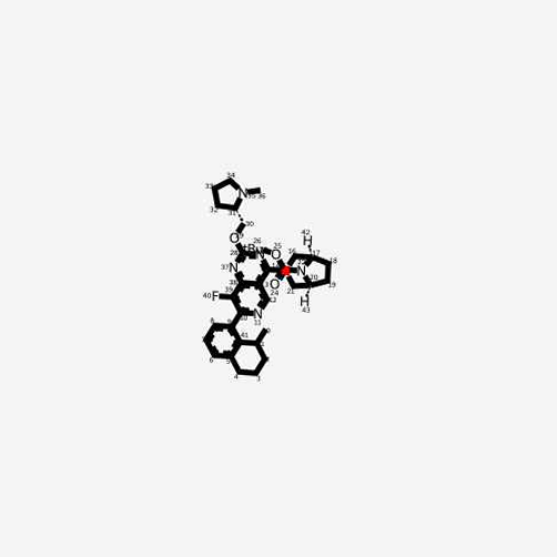 CC1CCCc2cccc(-c3ncc4c(N5C[C@H]6CC[C@@H](C5)N6C(=O)OC(C)(C)C)nc(OC[C@@H]5CCCN5C)nc4c3F)c21